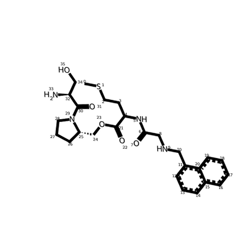 CSCCC(NC(=O)CNCc1cccc2ccccc12)C(=O)OC[C@@H]1CCCN1C(=O)[C@@H](N)CO